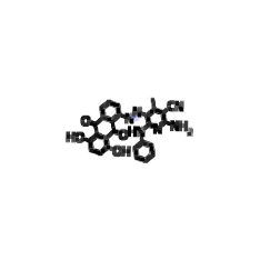 Cc1c(C#N)c(N)nc(Nc2ccccc2)c1/N=N/c1cccc2c1C(=O)c1c(O)ccc(O)c1C2=O